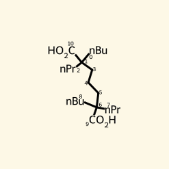 CCCCC(CCC)(CCCC(CCC)(CCCC)C(=O)O)C(=O)O